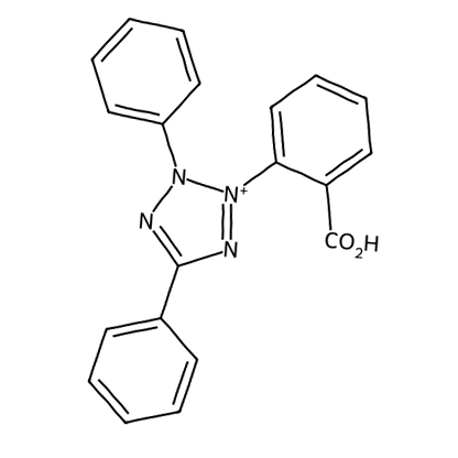 O=C(O)c1ccccc1-[n+]1nc(-c2ccccc2)nn1-c1ccccc1